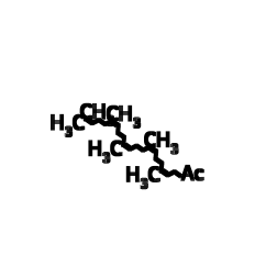 CC(=O)CCC=C(C)CCC=C(C)CCC=C(C)CCC=C(C)CCC=C(C)C